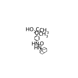 CC(C)(Oc1ccc(NC(=O)NC23CC4CC(CC(C4)C2)C3)cc1)C(=O)O